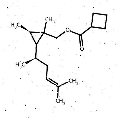 CC(C)=CC[C@@H](C)C1[C@@H](C)C1(C)COC(=O)C1CCC1